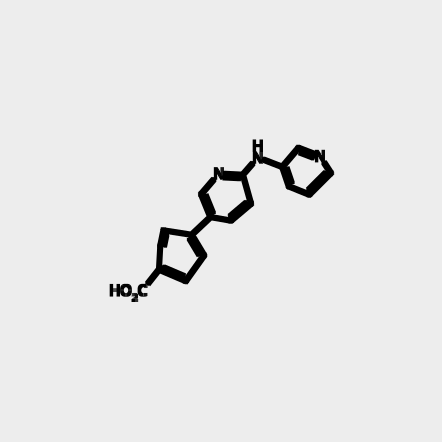 O=C(O)c1ccc(-c2ccc(Nc3cccnc3)nc2)cc1